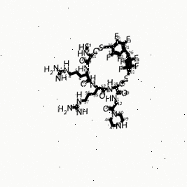 N=C(N)NCCCC1NC(=O)C(NS)CSc2c(F)c(F)c(c(F)c2F)-c2c(F)c(F)c(c(F)c2F)SCC(C(=O)NCC(=O)N2CCNCC2)NC(=O)C(CCCNC(=N)N)NC1=O